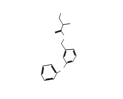 O=C(OCc1cccc(Oc2ccccc2)c1)C(Br)CCl